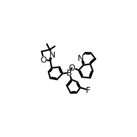 CC1(C)COC(c2cccc(B(Oc3cccc4cccnc34)c3cccc(F)c3)c2)=N1